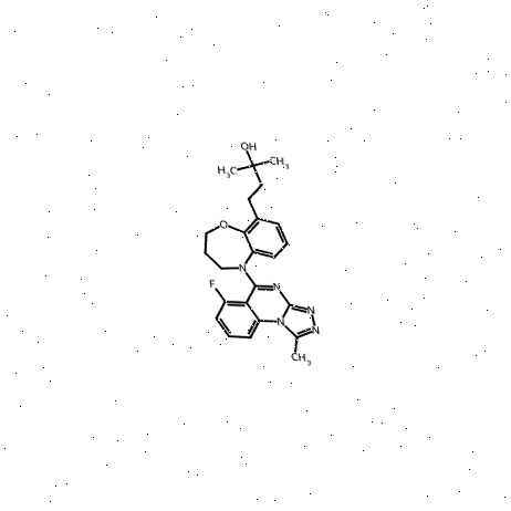 Cc1nnc2nc(N3CCCOc4c(CCC(C)(C)O)cccc43)c3c(F)cccc3n12